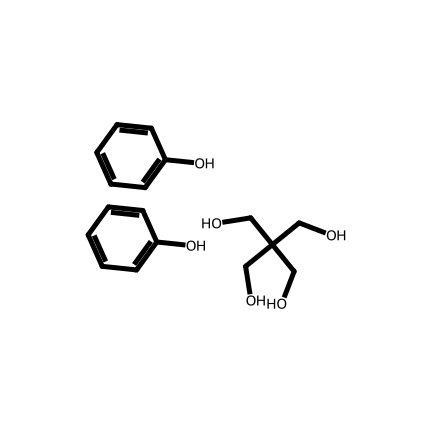 OCC(CO)(CO)CO.Oc1ccccc1.Oc1ccccc1